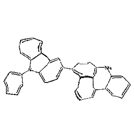 c1ccc(-n2c3ccccc3c3cc(-c4ccc5c6c(cccc46)-c4ccccc4N5)ccc32)cc1